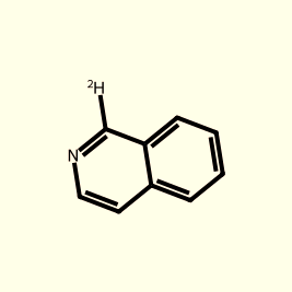 [2H]c1nccc2ccccc12